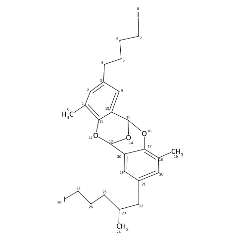 Cc1cc(CCCCI)cc2c1OC1OC2Oc2c(C)cc(CC(C)CCCI)cc21